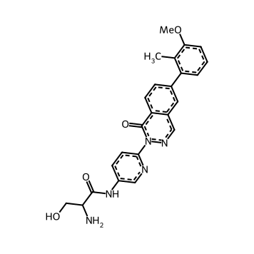 COc1cccc(-c2ccc3c(=O)n(-c4ccc(NC(=O)C(N)CO)cn4)ncc3c2)c1C